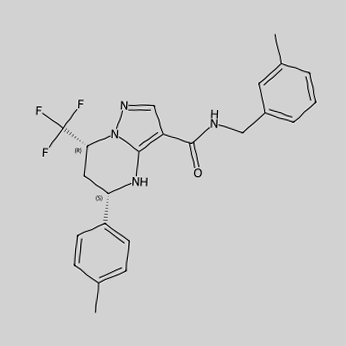 Cc1ccc([C@@H]2C[C@H](C(F)(F)F)n3ncc(C(=O)NCc4cccc(C)c4)c3N2)cc1